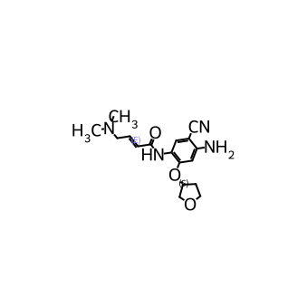 CN(C)C/C=C/C(=O)Nc1cc(C#N)c(N)cc1O[C@H]1CCOC1